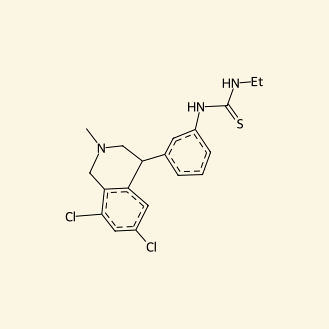 CCNC(=S)Nc1cccc(C2CN(C)Cc3c(Cl)cc(Cl)cc32)c1